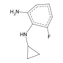 Nc1cccc(F)c1NC1CC1